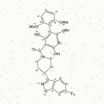 CCCCc1nc(O)c(C(=O)N2CCC(c3noc4cc(F)ccc34)CC2)c(O)c1-c1c(OC)cccc1OC